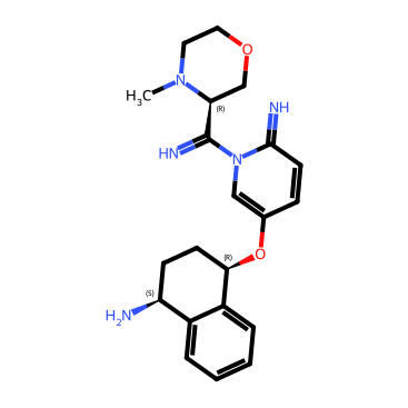 CN1CCOC[C@H]1C(=N)n1cc(O[C@@H]2CC[C@H](N)c3ccccc32)ccc1=N